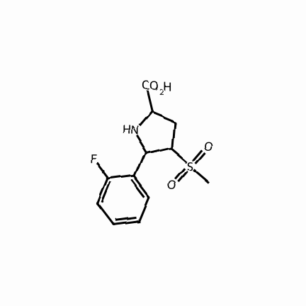 CS(=O)(=O)C1CC(C(=O)O)NC1c1ccccc1F